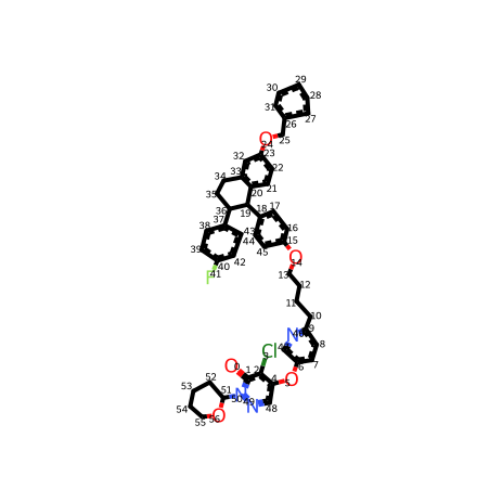 O=c1c(Cl)c(Oc2ccc(CCCCOc3ccc(C4c5ccc(OCc6ccccc6)cc5CCC4c4ccc(F)cc4)cc3)nc2)cnn1C1CCCCO1